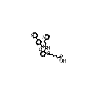 [2H]C(c1ccccc1OCCCCCC(=O)O)N(CCc1ccccn1)C(=O)c1ccc(-c2cccnc2)cc1